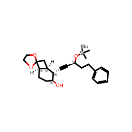 CC(C)(C)[Si](C)(C)O[C@H](C#C[C@H]1[C@@H]2CC3(OCCO3)[C@@H]2CC[C@@H]1O)CCc1ccccc1